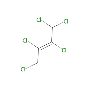 ClCC(Cl)=C(Cl)C(Cl)Cl